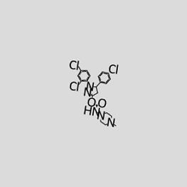 CN1CCN(NC(=O)OC2=NN(c3ccc(Cl)cc3Cl)C(c3ccc(Cl)cc3)C2)CC1